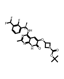 Cc1nc(N[C@H](C)c2cccc(C(F)F)c2F)c2cc(OC3CN(C(=O)OC(C)(C)C)C3)c(=O)[nH]c2n1